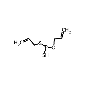 C=CCOP(S)SCC=C